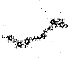 CC(C)(C)c1cc(NC(=O)Nc2ccc(-n3cnc4cc(OCCCCCc5cn(CCOCCNc6cccc7c6C(=O)N(C6CCC(=O)NC6=O)C7=O)nn5)ccc43)cc2)[nH]n1